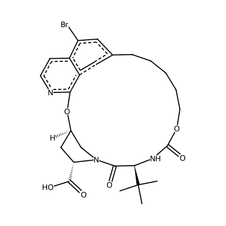 CC(C)(C)[C@@H]1NC(=O)OCCCCCc2cc(Br)c3ccnc(c3c2)O[C@@H]2C[C@@H](C(=O)O)N(C2)C1=O